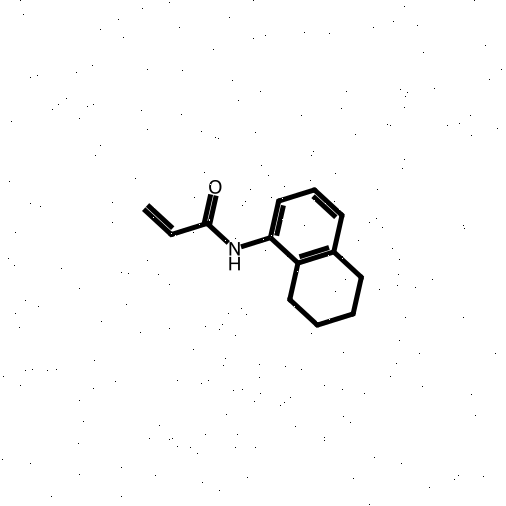 C=CC(=O)Nc1cccc2c1CCCC2